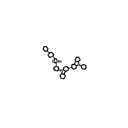 c1ccc(-c2ccc(-c3c[nH]c(-c4cccc(-n5c6ccccc6c6cc(-c7ccc8c(c7)c7ccccc7n8-c7ccccc7)ccc65)c4)n3)cc2)cc1